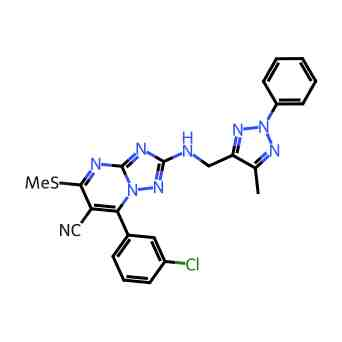 CSc1nc2nc(NCc3nn(-c4ccccc4)nc3C)nn2c(-c2cccc(Cl)c2)c1C#N